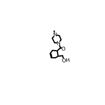 CN1CCN(C(=O)C2CC=CCC2CO)CC1